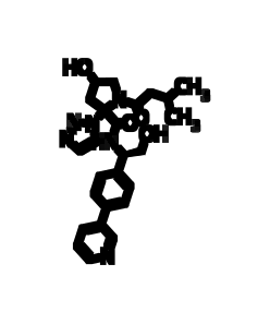 CC(C)CC(=O)N1CC(O)CC1(C(=O)N[C@@H](CO)c1ccc(-c2cccnc2)cc1)n1ccnn1